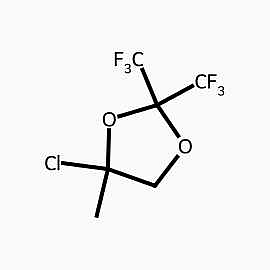 CC1(Cl)COC(C(F)(F)F)(C(F)(F)F)O1